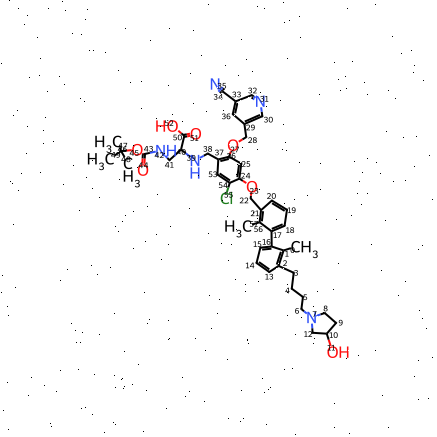 Cc1c(CCCCN2CCC(O)C2)cccc1-c1cccc(COc2cc(OCc3cncc(C#N)c3)c(CNC(CNC(=O)OC(C)(C)C)C(=O)O)cc2Cl)c1C